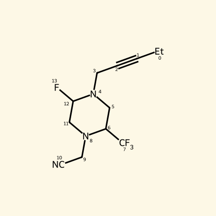 CCC#CCN1CC(C(F)(F)F)N(CC#N)CC1F